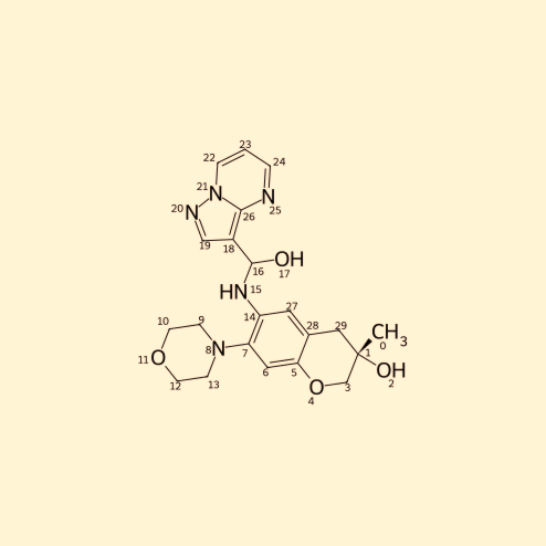 C[C@@]1(O)COc2cc(N3CCOCC3)c(NC(O)c3cnn4cccnc34)cc2C1